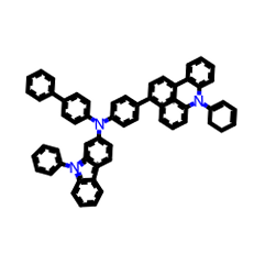 C1=CCCC(N2c3ccccc3-c3ccc(-c4ccc(N(c5ccc(-c6ccccc6)cc5)c5ccc6c7ccccc7n(-c7ccccc7)c6c5)cc4)c4cccc2c34)=C1